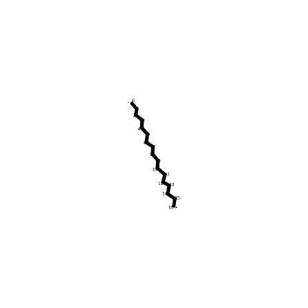 [CH2]CCCCCC[CH]CCCCCCCC[CH2]